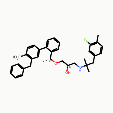 Cc1ccc(CC(C)(C)NC[C@@H](O)CO[C@H](C)c2ccccc2-c2ccc(C(=O)O)c(Cc3ccccc3)c2)cc1F